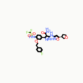 NC(=O)c1c(-c2ccc(NS(=O)(=O)C(F)F)c(OCCc3ccc(F)cc3)c2)n[nH]c1Nc1cc([C@H]2CCOC2)on1